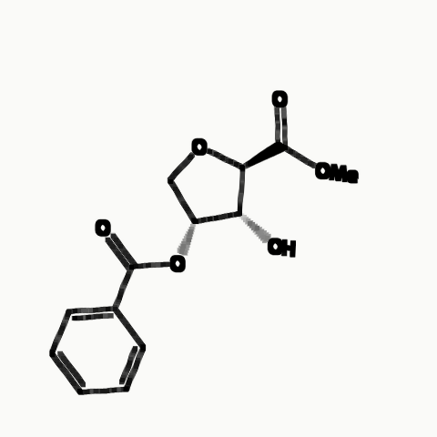 COC(=O)[C@@H]1OC[C@@H](OC(=O)c2ccccc2)[C@H]1O